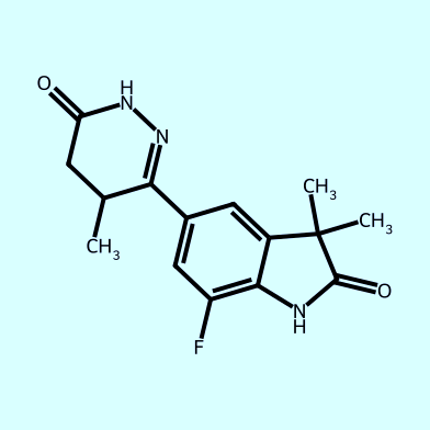 CC1CC(=O)NN=C1c1cc(F)c2c(c1)C(C)(C)C(=O)N2